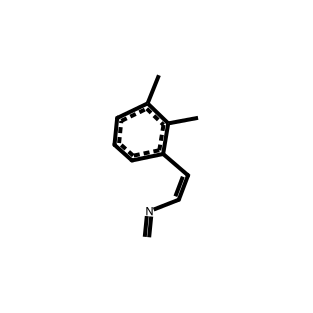 C=N/C=C\c1cccc(C)c1C